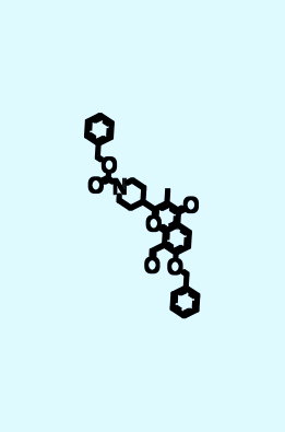 Cc1c(C2CCN(C(=O)OCc3ccccc3)CC2)oc2c(C=O)c(OCc3ccccc3)ccc2c1=O